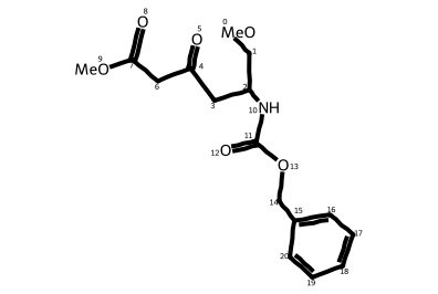 COCC(CC(=O)CC(=O)OC)NC(=O)OCc1ccccc1